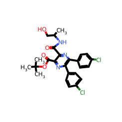 CC(CO)NC(=O)c1nc(-c2ccc(Cl)cc2)c(-c2ccc(Cl)cc2)nc1C(=O)OC(C)(C)C